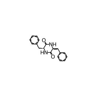 O=C1N[C@@H](Cc2ccccc2)C(=O)N/C1=C/c1ccccc1